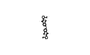 O=CC1=CCCC1N1C(=O)c2ccc(Oc3ccc4c(c3)C(=O)N(C3CCC=C3C=O)C4=O)cc2C1=O